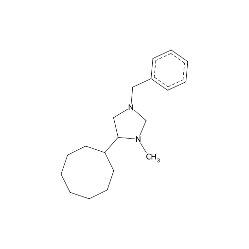 CN1CN(Cc2ccccc2)CC1C1CCCCCCC1